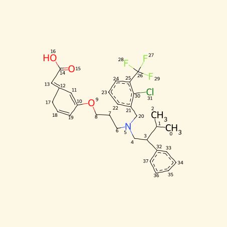 CC(C)C(CN(CCCOC1=CC(=CC(=O)O)CC=C1)Cc1cccc(C(F)(F)F)c1Cl)c1ccccc1